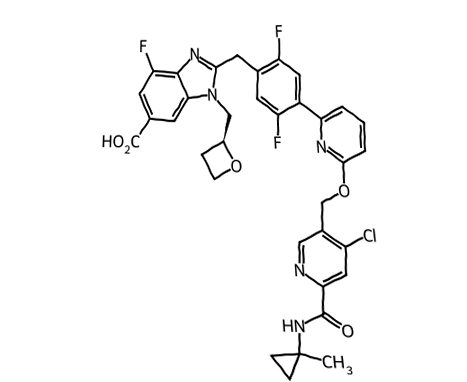 CC1(NC(=O)c2cc(Cl)c(COc3cccc(-c4cc(F)c(Cc5nc6c(F)cc(C(=O)O)cc6n5C[C@@H]5CCO5)cc4F)n3)cn2)CC1